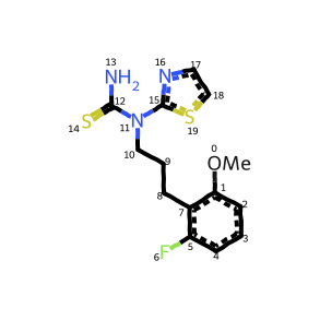 COc1cccc(F)c1CCCN(C(N)=S)c1nccs1